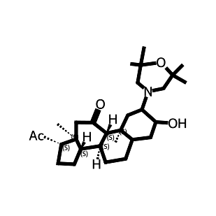 CC(=O)[C@H]1CC[C@H]2[C@@H]3CCC4CC(O)C(N5CC(C)(C)OC(C)(C)C5)C[C@]4(C)[C@H]3C(=O)C[C@]12C